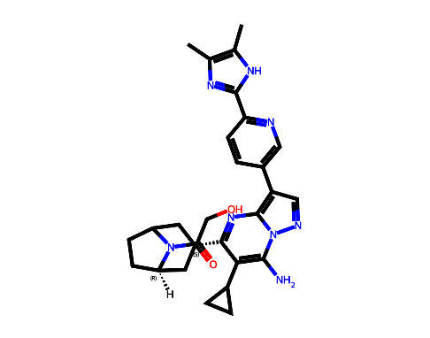 Cc1nc(-c2ccc(-c3cnn4c(N)c(C5CC5)c([C@H]5CC6CC[C@H](C5)N6C(=O)CO)nc34)cn2)[nH]c1C